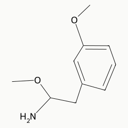 COc1cccc(CC(N)OC)c1